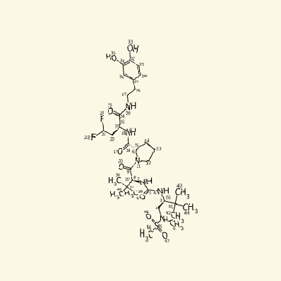 CN(C[C@@H](NC(=O)N[C@H](C(=O)N1CCC[C@H]1C(=O)N[C@@H](CC(F)F)C(=O)NCCc1ccc(O)c(O)c1)C(C)(C)C)C(C)(C)C)S(C)(=O)=O